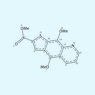 COC(=O)c1cc2c(OC)c3cccnc3c(OC)c2s1